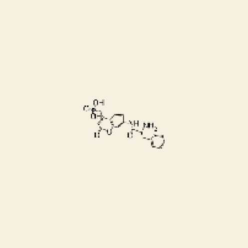 N[C@@H](Cc1ccccc1)C(=O)Nc1ccc2c(CP(=O)(O)O)cc(=O)oc2c1